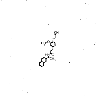 C#CCOc1ccc(CCC(=O)NC(C)c2ccc3ccccc3c2)cc1OC